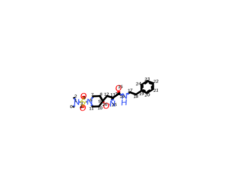 CN(C)S(=O)(=O)N1CCC2(CC1)CC(C(=O)NCCc1ccccc1)=NO2